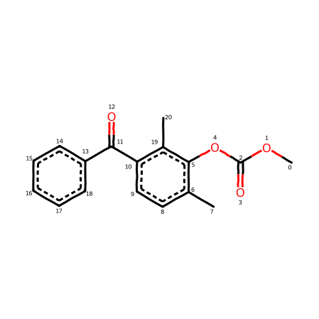 COC(=O)Oc1c(C)ccc(C(=O)c2ccccc2)c1C